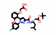 COc1cccc(OCC(=O)O)c1-c1cc(C(=O)N[C@H](CC(=O)OC(C)(C)C)CC(C)C)nn1-c1ccc(F)cc1